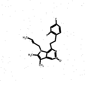 CC=CCn1c(C)c(C)c2c[n+]([O-])nc(CCc3ccc(F)cc3F)c21